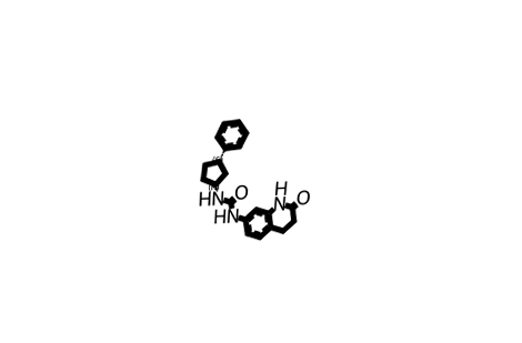 O=C1CCc2ccc(NC(=O)N[C@@H]3CC[C@H](c4ccccc4)C3)cc2N1